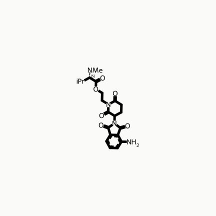 CN[C@H](C(=O)OCCN1C(=O)CCC(N2C(=O)c3cccc(N)c3C2=O)C1=O)C(C)C